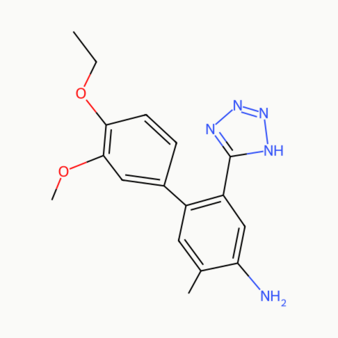 CCOc1ccc(-c2cc(C)c(N)cc2-c2nnn[nH]2)cc1OC